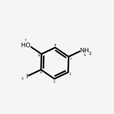 Nc1ccc(I)c(O)c1